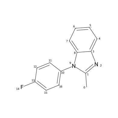 Cc1nc2c[c]ccc2n1-c1ccc(F)cc1